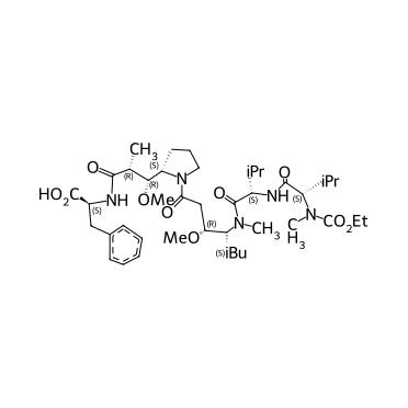 CCOC(=O)N(C)[C@H](C(=O)N[C@H](C(=O)N(C)C([C@@H](C)CC)[C@@H](CC(=O)N1CCC[C@H]1[C@H](OC)[C@@H](C)C(=O)N[C@@H](Cc1ccccc1)C(=O)O)OC)C(C)C)C(C)C